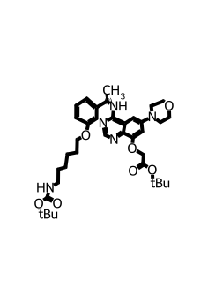 C[C@@H](Nc1ncnc2c(OCC(=O)OC(C)(C)C)cc(N3CCOCC3)cc12)c1cccc(OCCCCCCNC(=O)OC(C)(C)C)c1